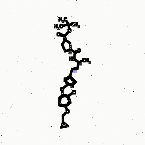 C[C@@H](/C=C/c1cnc(Oc2ccc(OCC3CC3)cc2Cl)s1)NC(=O)[C@H]1CCN(C(=O)OC(C)(C)C)C1